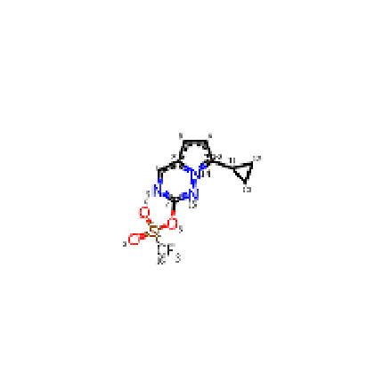 O=S(=O)(Oc1ncc2ccc(C3CC3)n2n1)C(F)(F)F